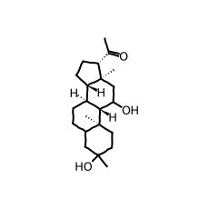 CC(=O)[C@H]1CC[C@H]2[C@@H]3CCC4CC(C)(O)CC[C@]4(C)[C@H]3C(O)C[C@]12C